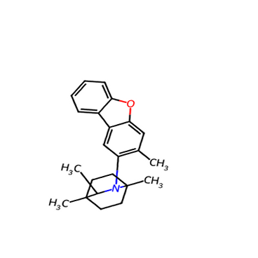 Cc1cc2oc3ccccc3c2cc1N1C(C)C2(C)CCC1(C)CC2